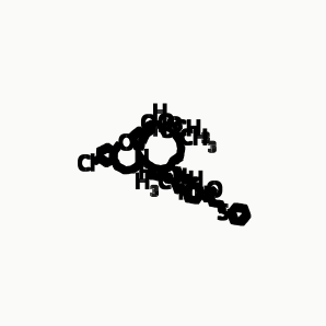 CO[C@@]1(CN2CCN3CCN(C(=O)CCSc4ccccc4)C[C@H]3C2)/C=C/C[C@H](C)[C@@H](C)S(=O)(=O)NC(=O)c2ccc3c(c2)N(CCCCc2cc(Cl)ccc2CO3)C[C@@H]2CCC21